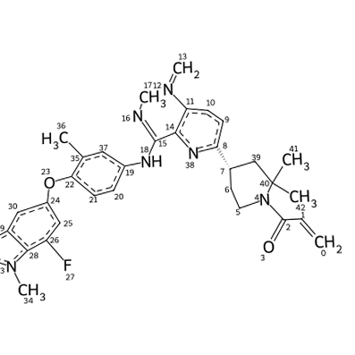 C=CC(=O)N1CC[C@H](c2ccc(N=C)c(/C(=N\C)Nc3ccc(Oc4cc(F)c5c(c4)ncn5C)c(C)c3)n2)CC1(C)C